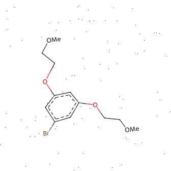 COCCOc1cc(Br)cc(OCCOC)c1